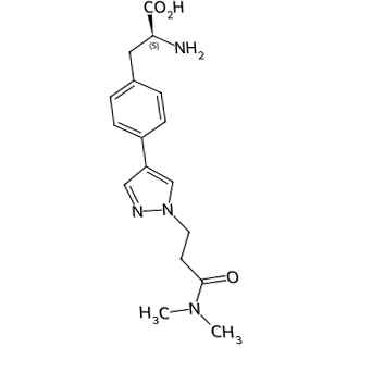 CN(C)C(=O)CCn1cc(-c2ccc(C[C@H](N)C(=O)O)cc2)cn1